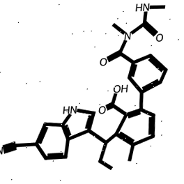 CCC(c1c(C)ccc(-c2cccc(C(=O)N(C)C(=O)NC)c2)c1C(=O)O)c1c[nH]c2cc(C#N)ccc12